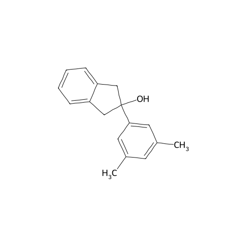 Cc1cc(C)cc(C2(O)Cc3ccccc3C2)c1